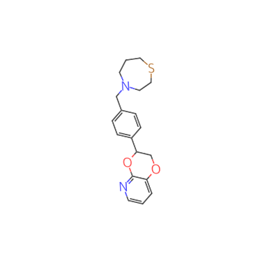 c1cnc2c(c1)OCC(c1ccc(CN3CCCSCC3)cc1)O2